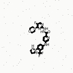 O=C(NNc1ncc(F)c(N2CCOCC2)n1)c1ccc(Nc2ccc(N3CCCN3)c(C(F)(F)F)c2)cn1